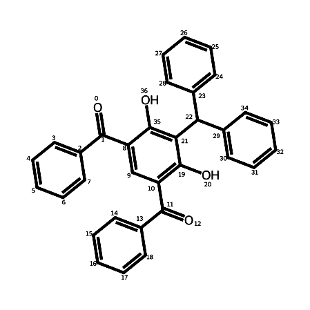 O=C(c1ccccc1)c1cc(C(=O)c2ccccc2)c(O)c(C(c2ccccc2)c2ccccc2)c1O